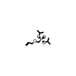 C=CCOCP(=O)(OC(C)C)OC(C)C